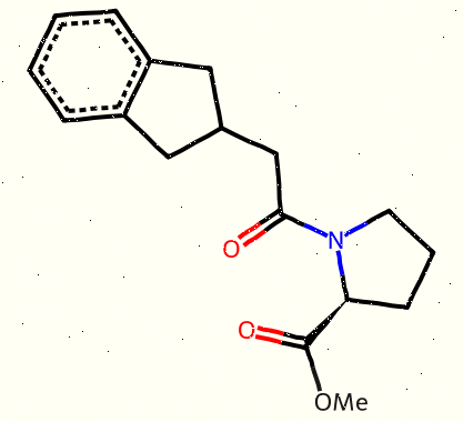 COC(=O)[C@@H]1CCCN1C(=O)CC1Cc2ccccc2C1